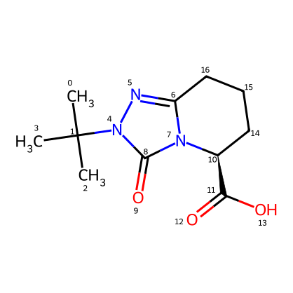 CC(C)(C)n1nc2n(c1=O)[C@H](C(=O)O)CCC2